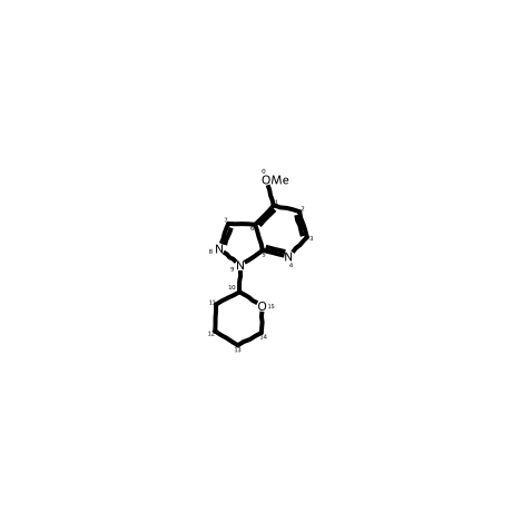 COc1ccnc2c1cnn2C1CCCCO1